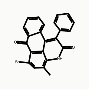 Cc1cc(Br)c2c3c(c(-c4ccccc4)c(=O)[nH]c13)-c1ccccc1C2=O